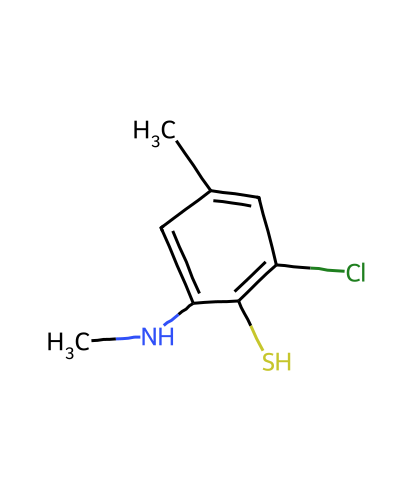 CNc1cc(C)cc(Cl)c1S